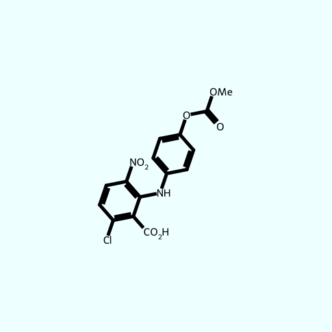 COC(=O)Oc1ccc(Nc2c([N+](=O)[O-])ccc(Cl)c2C(=O)O)cc1